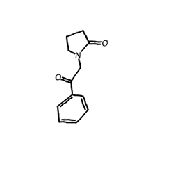 O=C(CN1CCCC1=O)c1ccccc1